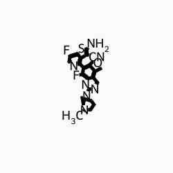 CN1CCC2CC1CN2c1ncc2c3c(c(-c4ncc(F)c5sc(N)c(C#N)c45)c(F)c2n1)COC3